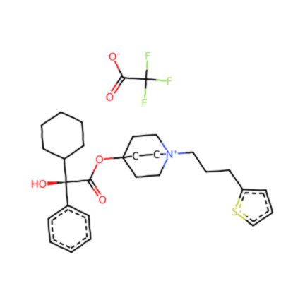 O=C(OC12CC[N+](CCCc3cccs3)(CC1)CC2)[C@](O)(c1ccccc1)C1CCCCC1.O=C([O-])C(F)(F)F